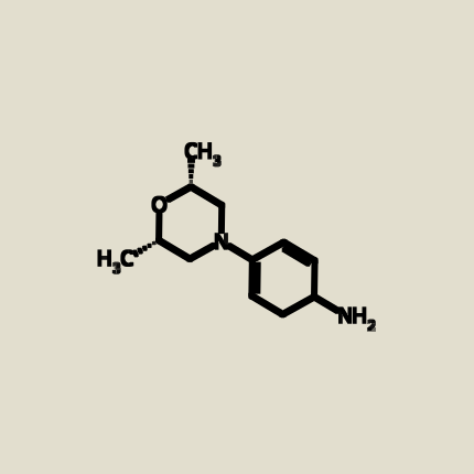 C[C@@H]1CN(C2=CCC(N)C=C2)C[C@H](C)O1